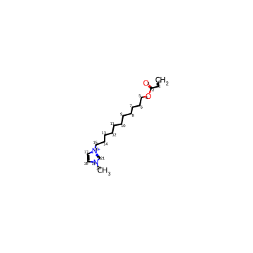 C=CC(=O)OCCCCCCCCCCC[n+]1ccn(C)c1